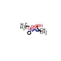 CC(C)COC(=O)N(CC(=O)N1CC2C(C1C(=O)O)C2(C)C)C1CCCCC1